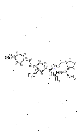 C=N/C(=N\OCC1CCCN1C(=N)N)c1ccc(CCc2ccc(C(C)(C)C)cc2)c(C(F)(F)F)c1